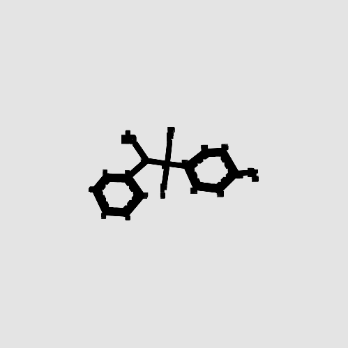 OC(c1ccccc1)C(F)(F)c1ccc(Br)cc1